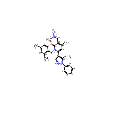 Cc1ccc(Cn2c(-c3cnn(-c4ccccc4)c3C)cc(C(F)(F)F)c(CN(C)C)c2=O)c(C)c1